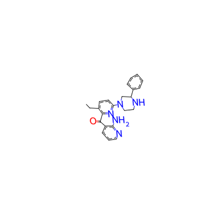 CCc1ccc(N2CCNC(c3ccccc3)C2)nc1C(=O)c1cccnc1N